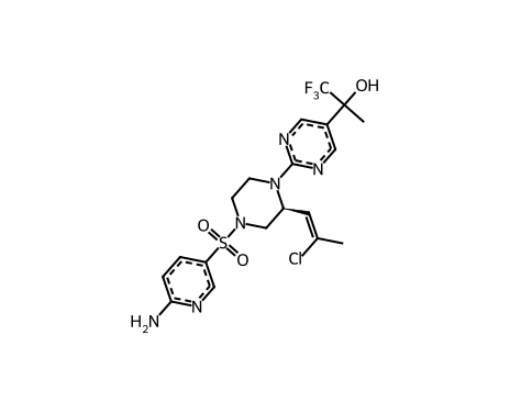 CC(Cl)=C[C@H]1CN(S(=O)(=O)c2ccc(N)nc2)CCN1c1ncc(C(C)(O)C(F)(F)F)cn1